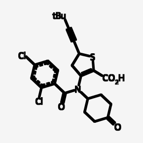 CC(C)(C)C#CC1CC(N(C(=O)c2ccc(Cl)cc2Cl)C2CCC(=O)CC2)=C(C(=O)O)S1